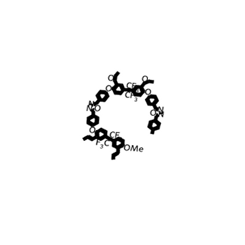 C/C=C/c1cc(C(c2ccc(Oc3ccc(-c4nnc(-c5ccc(Oc6ccc(C(c7ccc(Oc8ccc(-c9nnc(-c%10ccc(C)cc%10)o9)cc8)c(C8OC8C)c7)(C(F)(F)F)C(F)(F)F)cc6C6OC6C)cc5)o4)cc3)c(/C=C/C)c2)(C(F)(F)F)C(F)(F)F)ccc1OC